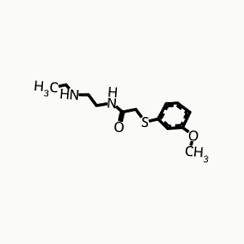 CCNCCNC(=O)CSc1cccc(OC)c1